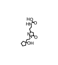 O=C(O)NCCC1=NN(CCC2(O)CCCC2)C(=O)C1